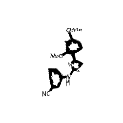 COc1ccc(-c2csc(Nc3cccc(C#N)c3)n2)c(OC)c1